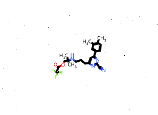 Cc1ccc(-c2cc(CCCNC(C)(C)COC(=O)C(F)(F)F)nc(C#N)n2)cc1C